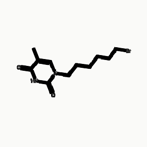 Cc1cn(CCCCCCBr)c(=O)[nH]c1=O